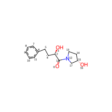 O=C([C@H](O)[CH]Cc1ccccc1)N1CC[C@H](O)C1